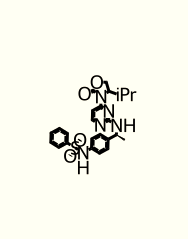 CC(C)C1COC(=O)N1c1ccnc(N[C@@H](C)c2ccc(NS(=O)(=O)c3ccccc3)cc2)n1